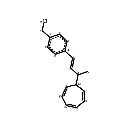 CC(/C=C/c1ccc(CCl)cc1)C1C=CC=CC=C1